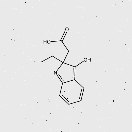 CCC1(CC(=O)O)N=c2ccccc2=C1O